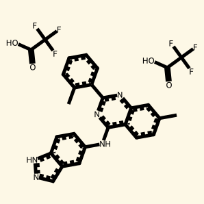 Cc1ccc2c(Nc3ccc4[nH]ncc4c3)nc(-c3ccccc3C)nc2c1.O=C(O)C(F)(F)F.O=C(O)C(F)(F)F